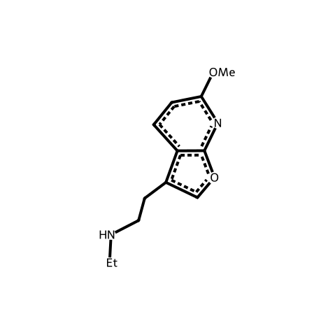 CCNCCc1coc2nc(OC)ccc12